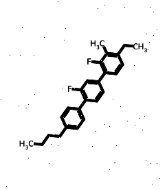 CCCCc1ccc(-c2ccc(-c3ccc(CC)c(C)c3F)cc2F)cc1